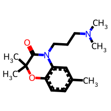 Cc1ccc2c(c1)N(CCCN(C)C)C(=O)C(C)(C)O2